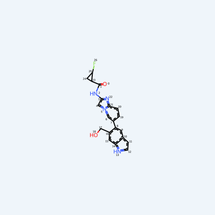 O=C(Nc1cn2cc(-c3cc4cc[nH]c4cc3CO)ccc2n1)C1CC1F